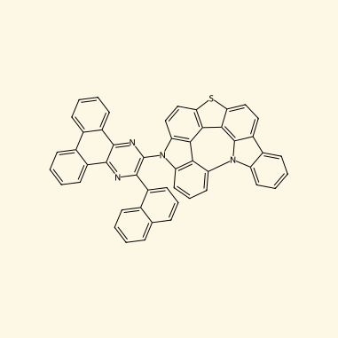 c1ccc2c(-c3nc4c5ccccc5c5ccccc5c4nc3-n3c4ccc5sc6ccc7c8ccccc8n8c9cccc3c9c4c5c6c78)cccc2c1